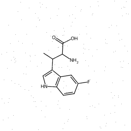 CC(c1c[nH]c2ccc(F)cc12)C(N)C(=O)O